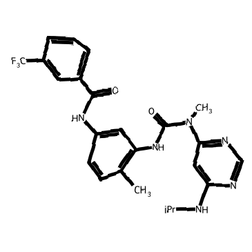 Cc1ccc(NC(=O)c2cccc(C(F)(F)F)c2)cc1NC(=O)N(C)c1cc(NC(C)C)ncn1